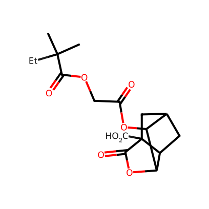 CCC(C)(C)C(=O)OCC(=O)OC1C2CC3C1OC(=O)C3(C(=O)O)C2